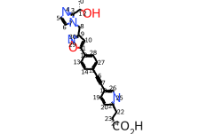 C[C@H](O)c1nccn1Cc1cc(-c2ccc(C#Cc3ccc(CCC(=O)O)nc3)cc2)on1